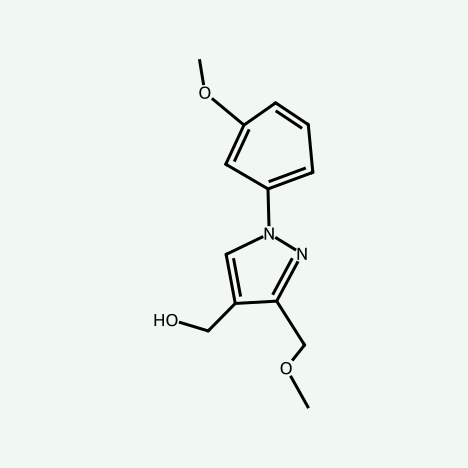 COCc1nn(-c2cccc(OC)c2)cc1CO